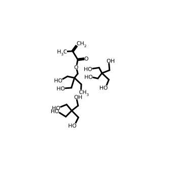 C=C(C)C(=O)OCC(CC)(CO)CO.OCC(CO)(CO)CO.OCC(CO)(CO)CO